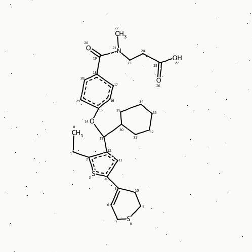 CCc1sc(C2=CCSCC2)cc1C(Oc1ccc(C(=O)N(C)CCC(=O)O)cc1)C1CCCCC1